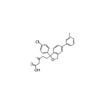 Cc1cccc(-c2ccc3c(c2)COC3(CCN(C)CC(=O)O)c2ccc(Cl)cc2)c1